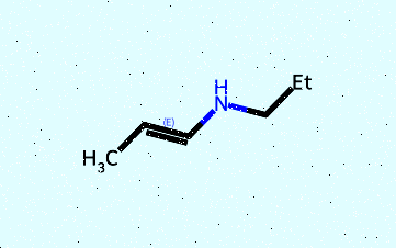 C/C=C/NCCC